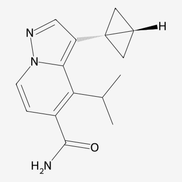 CC(C)c1c(C(N)=O)ccn2ncc([C@]34C[C@@H]3C4)c12